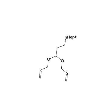 C=CCOC(CCCCCCCCC)OCC=C